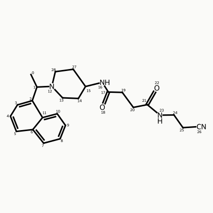 CC(c1cccc2ccccc12)N1CCC(NC(=O)CCC(=O)NCCC#N)CC1